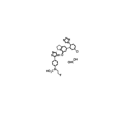 O=C(O)N(CCF)c1ccc(-c2nnc([C@@H]3CCc4cc(-c5cc(Cl)ccc5-n5cnnn5)cc(=O)n43)[nH]2)cc1.O=CO